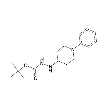 CC(C)(C)OC(=O)NNC1CCN(c2ccccc2)CC1